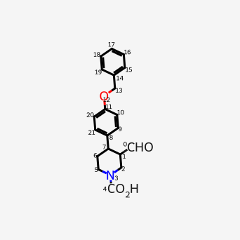 O=CC1CN(C(=O)O)CCC1c1ccc(OCc2ccccc2)cc1